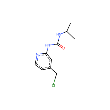 CC(C)NC(=O)Nc1cc(CCl)ccn1